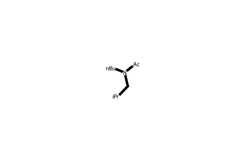 [CH2]C(=O)N(CCCC)CC(C)C